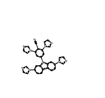 N#Cc1c(-n2ccnc2)cc(-n2c3cc(-n4ccnc4)ccc3c3ccc(-n4ccnc4)cc32)cc1-n1ccnc1